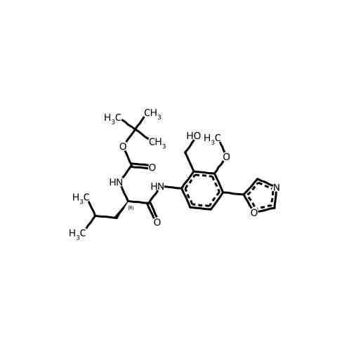 COc1c(-c2cnco2)ccc(NC(=O)[C@@H](CC(C)C)NC(=O)OC(C)(C)C)c1CO